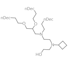 CCCCCCCCCCCCOCC(CN(CCCCCCCCCCCC)CCN(CCO)C1CCC1)OCCCCCCCCCCCC